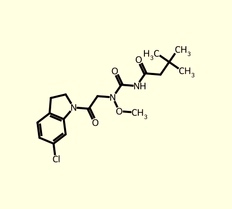 CON(CC(=O)N1CCc2ccc(Cl)cc21)C(=O)NC(=O)CC(C)(C)C